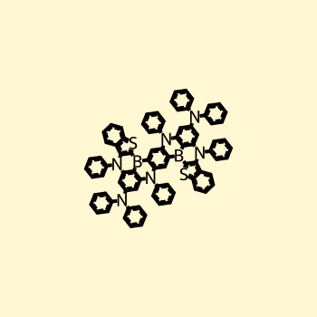 c1ccc(N(c2ccccc2)c2cc3c4c(c2)N(c2ccccc2)c2c(sc5ccccc25)B4c2cc4c(cc2N3c2ccccc2)B2c3sc5ccccc5c3N(c3ccccc3)c3cc(N(c5ccccc5)c5ccccc5)cc(c32)N4c2ccccc2)cc1